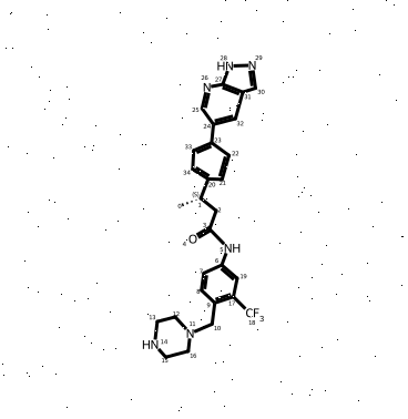 C[C@@H](CC(=O)Nc1ccc(CN2CCNCC2)c(C(F)(F)F)c1)c1ccc(-c2cnc3[nH]ncc3c2)cc1